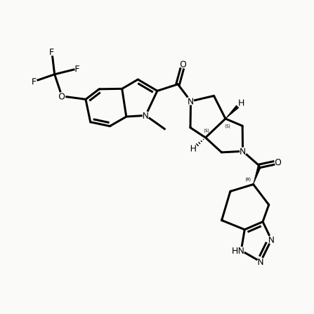 CN1C(C(=O)N2C[C@@H]3CN(C(=O)[C@@H]4CCc5[nH]nnc5C4)C[C@H]3C2)=CC2C=C(OC(F)(F)F)C=CC21